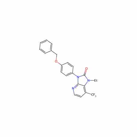 CCn1c(=O)n(-c2ccc(OCc3ccccc3)cc2)c2nccc(C(F)(F)F)c21